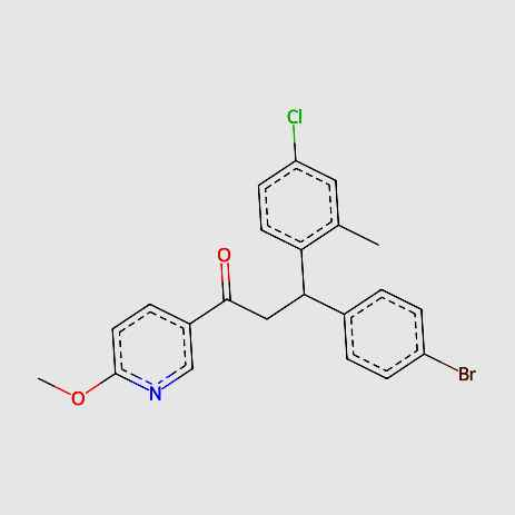 COc1ccc(C(=O)CC(c2ccc(Br)cc2)c2ccc(Cl)cc2C)cn1